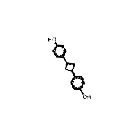 Oc1ccc(C2CC(c3ccc(O)cc3)C2)cc1